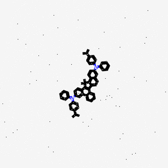 CC(C)c1ccc(N(c2ccccc2)c2ccc3c4c(ccc3c2)-c2c(c3ccc(N(c5ccccc5)c5ccc(C(C)C)cc5)cc3c3ccccc23)C4(C)C)cc1